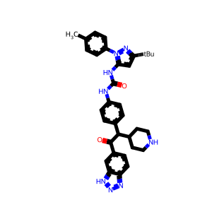 Cc1ccc(-n2nc(C(C)(C)C)cc2NC(=O)Nc2ccc(C(C(=O)c3ccc4nn[nH]c4c3)C3CCNCC3)cc2)cc1